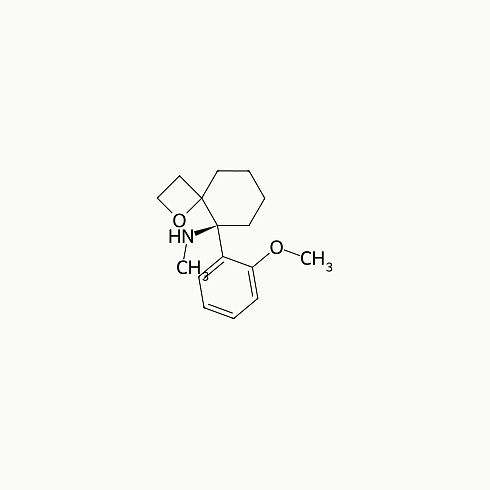 CN[C@]1(c2ccccc2OC)CCCCC12CCO2